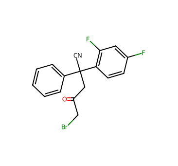 N#CC(CC(=O)CBr)(c1ccccc1)c1ccc(F)cc1F